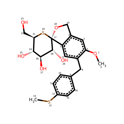 COc1cc2c(cc1Cc1ccc(SC)cc1)[C@]1(OC2)S[C@H](CO)[C@@H](O)[C@H](O)[C@H]1O